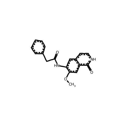 COc1cc2c(=O)[nH]ccc2cc1NC(=O)Cc1ccccc1